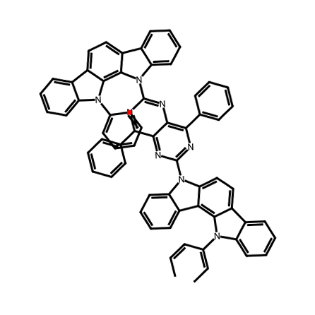 C/C=C\C(=C/C)n1c2ccccc2c2ccc3c(c4ccccc4n3-c3nc(-c4ccccc4)c4nc(-n5c6ccccc6c6ccc7c8ccccc8n(-c8ccccc8)c7c65)nc(-c5ccccc5)c4n3)c21